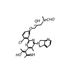 CC(=N)/C(=C(/C)O)c1nc(-c2cc(OC[C@H](O)CN(C)C=O)ccc2Cl)nc(N2Cc3cccnc3C2)c1C